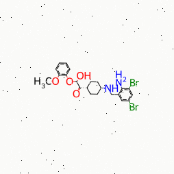 COc1ccccc1OC(O)C(=O)[C@H]1CC[C@H](NCc2cc(Br)cc(Br)c2N)CC1